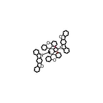 c1ccc2c(c1)Oc1ccccc1C21c2cc(-n3c4ccccc4c4cc5c(cc43)oc3ccccc35)sc2C2(c3ccccc3Oc3ccccc32)c2cc(-n3c4ccccc4c4cc5c(cc43)oc3ccccc35)sc21